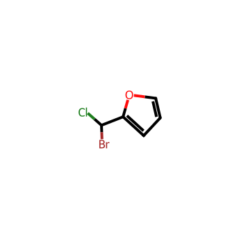 ClC(Br)c1ccco1